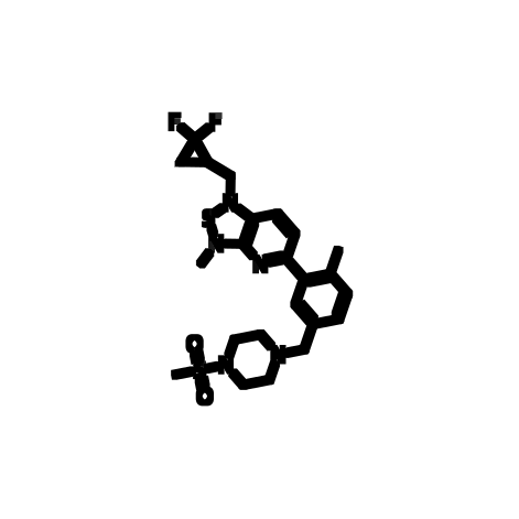 Cc1ccc(CN2CCN(S(C)(=O)=O)CC2)cc1-c1ccc2c(n1)N(C)SN2CC1CC1(F)F